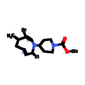 CCC1/C=C/CC(C)/C(C(C)=O)=C\N1C1CCN(C(=O)OC(C)(C)C)CC1